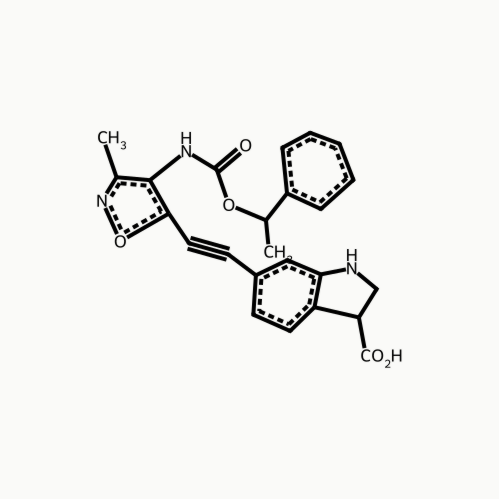 Cc1noc(C#Cc2ccc3c(c2)NCC3C(=O)O)c1NC(=O)OC(C)c1ccccc1